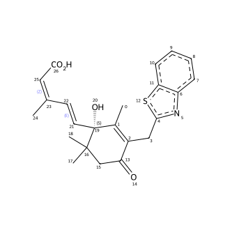 CC1=C(Cc2nc3ccccc3s2)C(=O)CC(C)(C)[C@@]1(O)/C=C/C(C)=C\C(=O)O